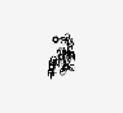 COc1ccc(CNc2nccc3c([C@@H]4CC[C@H](C)N(C(=O)OCc5ccccc5)C4)nn(-c4ccc(C(=O)Nc5cc(C(F)(F)F)ccn5)cc4OC)c23)c(OC)c1